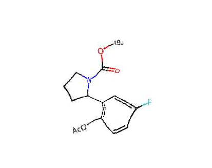 CC(=O)Oc1ccc(F)cc1C1CCCN1C(=O)OC(C)(C)C